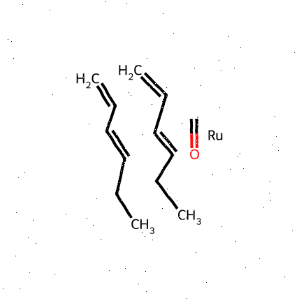 C=CC=CCC.C=CC=CCC.[C]=O.[Ru]